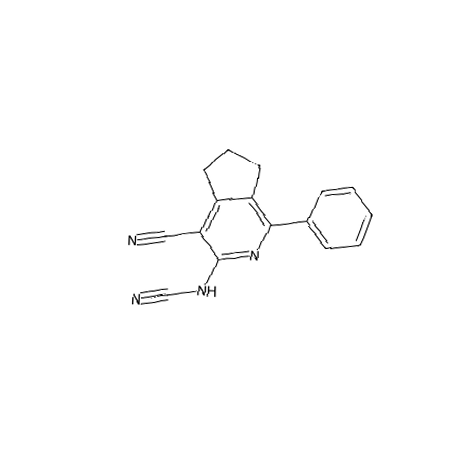 N#CNc1nc(-c2ccccc2)c2c(c1C#N)CCC2